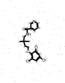 CC(C)(CCOc1c(Cl)cc(Cl)cc1Cl)CNC(=O)c1cccnc1